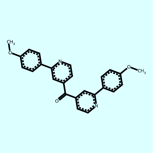 COc1ccc(-c2cc(C(=O)c3ccnc(-c4ccc(OC)cc4)c3)ccn2)cc1